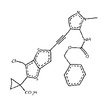 Cn1ncc(C#Cc2cc3sc(C4(C(=O)O)CC4)c(Cl)c3s2)c1NC(=O)OCc1ccccc1